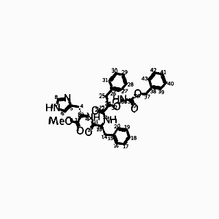 COC(=O)[C@H](Cc1c[nH]cn1)NC(=O)[C@H](Cc1ccccc1)NC(=O)C(Cc1ccccc1)ONC(=O)OCc1ccccc1